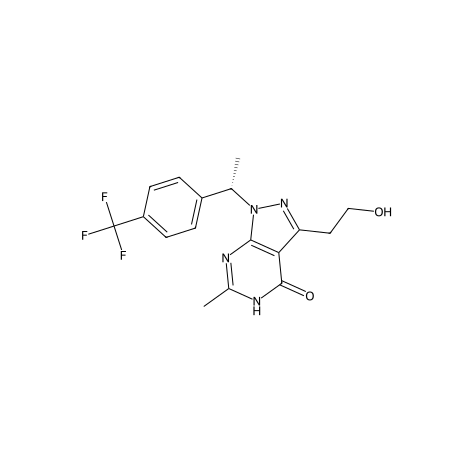 Cc1nc2c(c(CCO)nn2[C@@H](C)c2ccc(C(F)(F)F)cc2)c(=O)[nH]1